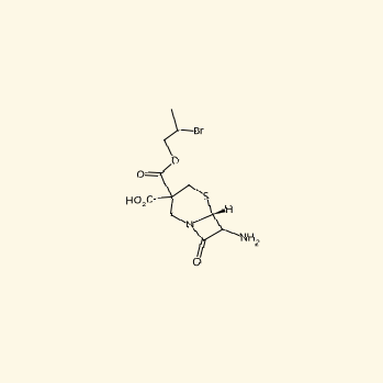 CC(Br)COC(=O)C1(C(=O)O)CS[C@@H]2C(N)C(=O)N2C1